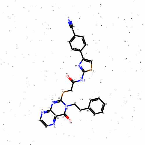 N#Cc1ccc(-c2csc(NC(=O)CSc3nc4nccnc4c(=O)n3CCc3ccccc3)n2)cc1